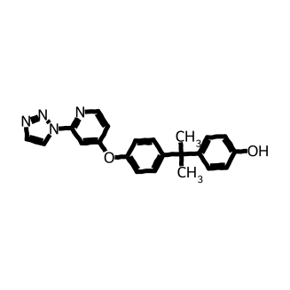 CC(C)(c1ccc(O)cc1)c1ccc(Oc2ccnc(-n3ccnn3)c2)cc1